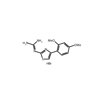 Br.COc1ccc(-c2csc(N=C(N)N)n2)c(OC)c1